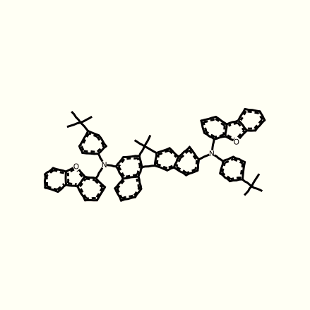 CC(C)(C)c1ccc(N(c2ccc3cc4c(cc3c2)C(C)(C)c2cc(N(c3ccc(C(C)(C)C)cc3)c3cccc5c3oc3ccccc35)c3ccccc3c2-4)c2cccc3c2oc2ccccc23)cc1